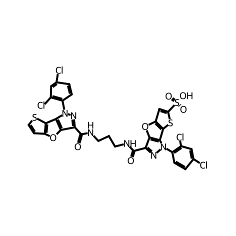 O=C(NCCCNC(=O)c1nn(-c2ccc(Cl)cc2Cl)c2c1oc1cc(S(=O)(=O)O)sc12)c1nn(-c2ccc(Cl)cc2Cl)c2c1oc1ccsc12